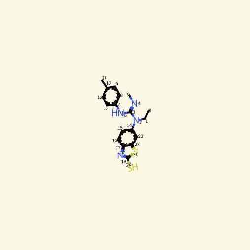 CCN(/C(=N/C)Nc1ccc(C)cc1)c1ccc2nc(S)sc2c1